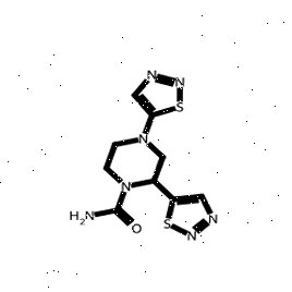 NC(=O)N1CCN(c2cnns2)CC1c1cnns1